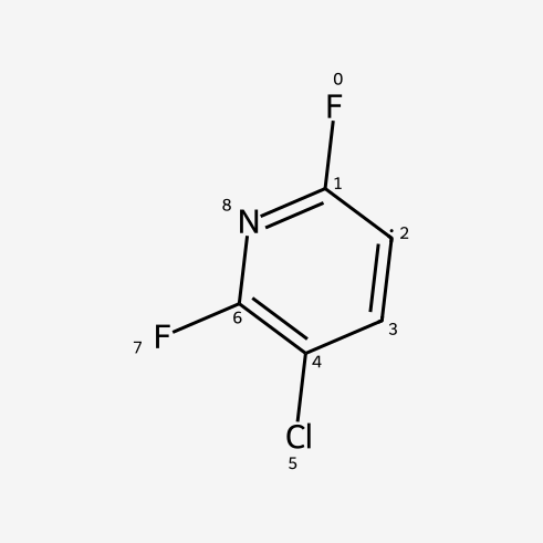 Fc1[c]cc(Cl)c(F)n1